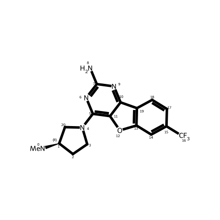 CN[C@@H]1CCN(c2nc(N)nc3c2oc2cc(C(F)(F)F)ccc23)C1